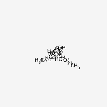 CCCCOCC(O)CN(CC(O)COCCCC)C(C)S(=O)(=O)O